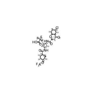 O=C(NC12CCC(NC(=O)[C@H]3CC(=O)c4cc(Cl)ccc4O3)(C1)C2)c1ccc(OC(F)(F)F)cn1.O=C(O)C(F)(F)F